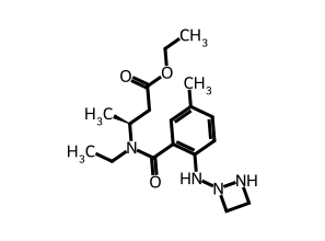 CCOC(=O)C[C@H](C)N(CC)C(=O)c1cc(C)ccc1NN1CCN1